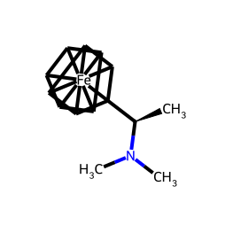 C[C@@H](N(C)C)[C]12[CH]3[CH]4[CH]5[CH]1[Fe]45321678[CH]2[CH]1[CH]6[CH]7[CH]28